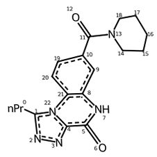 CCCc1nnc2c(=O)[nH]c3cc(C(=O)N4CCCCC4)ccc3n12